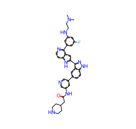 CN(C)CCNc1cc(F)cc(-c2nccc3[nH]c(-c4n[nH]c5ccc(-c6cncc(NC(=O)CC7CCNCC7)c6)cc45)cc23)c1